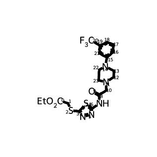 CCOC(=O)CSc1nnc(NC(=O)CN2CCN(c3cccc(C(F)(F)F)c3)CC2)s1